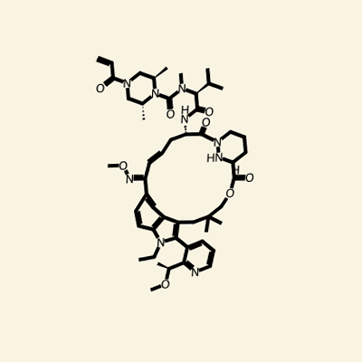 C=CC(=O)N1C[C@@H](C)N(C(=O)N(C)[C@H](C(=O)N[C@H]2C/C=C/C(=N\OC)c3ccc4c(c3)c(c(-c3cccnc3[C@H](C)OC)n4CC)CC(C)(C)COC(=O)[C@@H]3CCCN(N3)C2=O)C(C)C)[C@H](C)C1